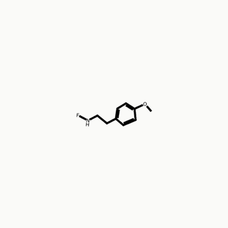 COc1ccc(CCNF)cc1